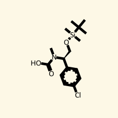 CN(C(=O)O)[C@@H](CO[Si](C)(C)C(C)(C)C)c1ccc(Cl)cc1